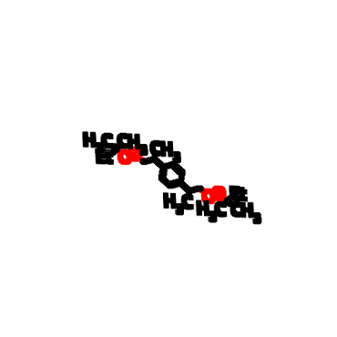 CCC(C)(C)OOCC(C)c1ccc(C(C)COOC(C)(C)CC)cc1